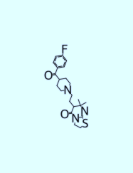 CC1(C)N=C2SCCN2C(=O)C1CCN1CCC(C(=O)c2ccc(F)cc2)CC1